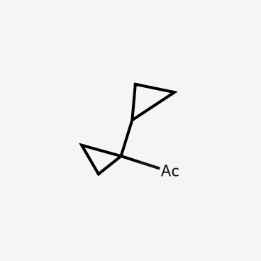 CC(=O)C1(C2CC2)CC1